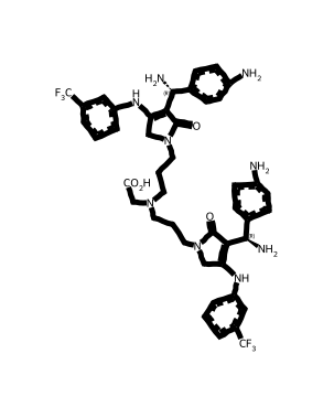 Nc1ccc([C@@H](N)C2=C(Nc3cccc(C(F)(F)F)c3)CN(CCCN(CCCN3CC(Nc4cccc(C(F)(F)F)c4)=C([C@H](N)c4ccc(N)cc4)C3=O)CC(=O)O)C2=O)cc1